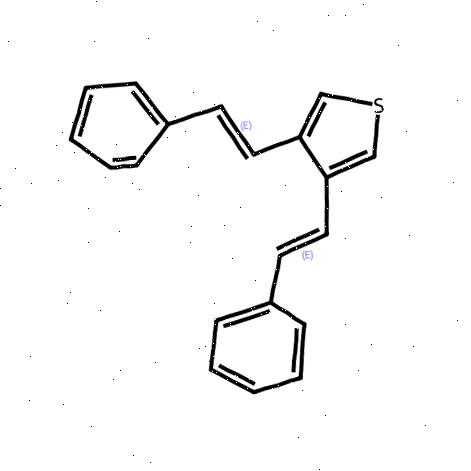 C(=C\c1cscc1/C=C/c1ccccc1)/c1ccccc1